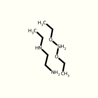 CCNCCN.CCO[SiH2]OCC